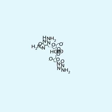 COCC1O[C@@H](Cc2nc(N)[nH]c(=O)c2/N=C\N)C[C@H]1OP(=O)(O)OCC1O[C@@H](n2cnc(N)nc2=O)C[C@H]1OC